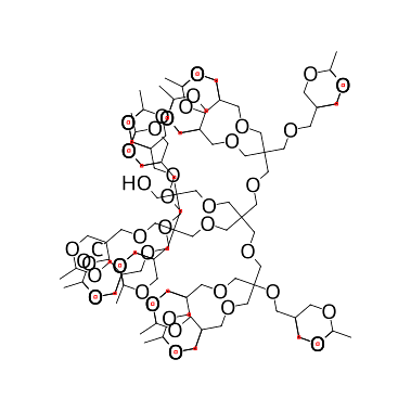 CC12OCC(COCC(COCC(COCC(COCC34COC(C)(OC3)OC4)(COCC34COC(C)(OC3)OC4)COCC34COC(C)(OC3)OC4)(COCC(CO)(COCC34COC(C)(OC3)OC4)OCC34COC(C)(OC3)OC4)COCC(COCC34COC(C)(OC3)OC4)(COCC34COC(C)(OC3)OC4)OCC34COC(C)(OC3)OC4)(COCC34COC(C)(OC3)OC4)COCC34COC(C)(OC3)OC4)(CO1)CO2